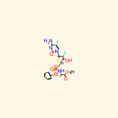 CC(C)OC(=O)[C@H](C)N[P@](=O)(OC[C@H]1S[C@@H](n2cc(F)c(N)nc2=O)C(F)[C@@H]1O)Oc1ccccc1